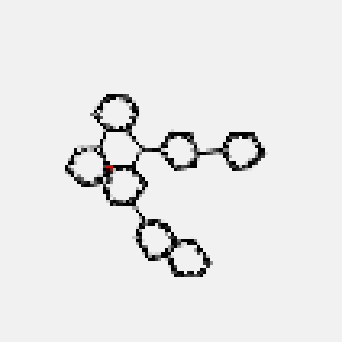 c1ccc(-c2ccc(N(c3cccc(-c4ccc5ccccc5c4)c3)c3ccccc3-c3ccccc3)cc2)cc1